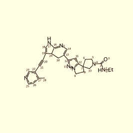 CCNC(=O)N1CCC2(CCn3nc(C4=CN=C5NC=C(C#Cc6cnccc6C)C5C4)cc32)C1